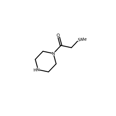 CSCC(=O)N1CCNCC1